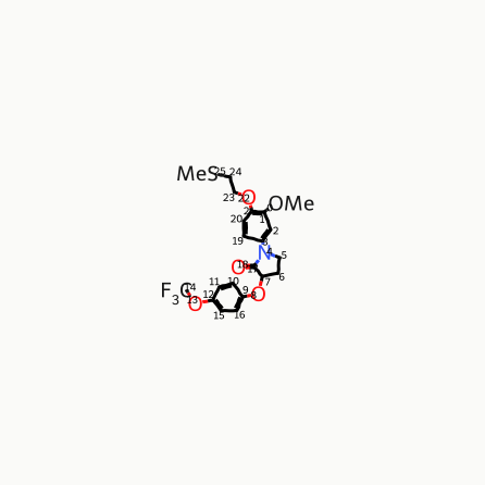 COc1cc(N2CCC(Oc3ccc(OC(F)(F)F)cc3)C2=O)ccc1OCCSC